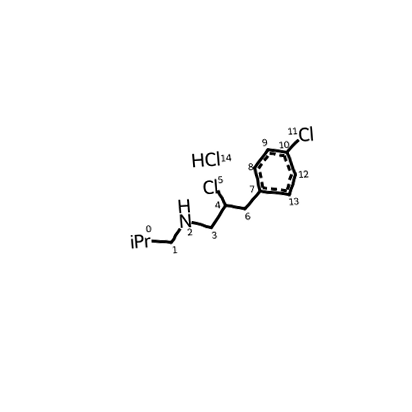 CC(C)CNCC(Cl)Cc1ccc(Cl)cc1.Cl